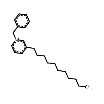 CCCCCCCCCCCc1ccc[n+](Cc2ccccc2)c1